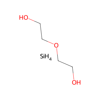 OCCOCCO.[SiH4]